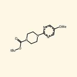 COc1cnc(N2CCN(C(=O)OC(C)(C)C)CC2)nc1